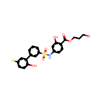 O=C(OCCCBr)c1ccc(NS(=O)(=O)c2cccc(-c3cc(F)ccc3O)c2)cc1O